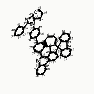 C1#CC2C(=CC=C1)C1(c3ccccc3-c3ccccc31)c1ccc3c(c(-c4ccc(-c5ccc(-n6c(-c7ccccc7)nc7ccccc76)cc5)cc4)nc4ccccc43)c12